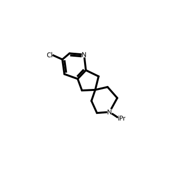 CC(C)N1CCC2(CC1)Cc1cc(Cl)cnc1C2